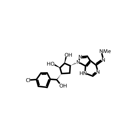 CN/N=c1/nc[nH]c2c1cnn2[C@@H]1C[C@H](C(O)c2ccc(Cl)cc2)[C@@H](O)[C@H]1O